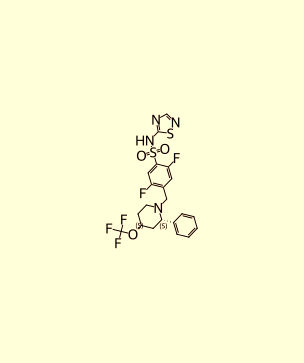 O=S(=O)(Nc1ncns1)c1cc(F)c(CN2CC[C@H](OC(F)(F)F)C[C@H]2c2ccccc2)cc1F